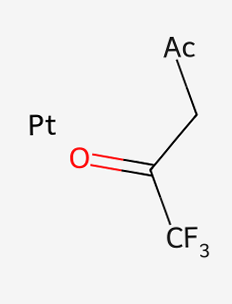 CC(=O)CC(=O)C(F)(F)F.[Pt]